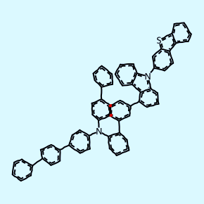 c1ccc(-c2ccc(-c3ccc(N(c4ccc(-c5ccccc5)cc4)c4ccccc4-c4cccc(-c5cccc6c5c5ccccc5n6-c5ccc6c(c5)sc5ccccc56)c4)cc3)cc2)cc1